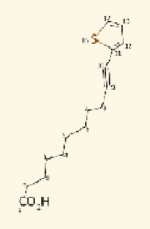 O=C(O)CCCCCCCCC#Cc1cccs1